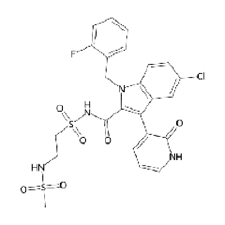 CS(=O)(=O)NCCS(=O)(=O)NC(=O)c1c(-c2ccc[nH]c2=O)c2cc(Cl)ccc2n1Cc1ccccc1F